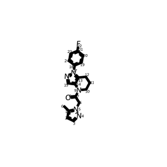 Cc1ccnn1CC(=O)N1CCCc2c1cnn2-c1ccc(F)cc1